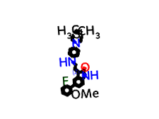 COc1cccc(F)c1-c1ccc2c(c1)/C(=C/CNc1ccc(N3CC[Si](C)(C)CC3)cc1)C(=O)N2